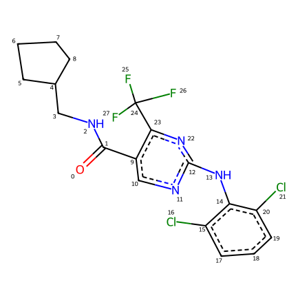 O=C(NCC1CCCC1)c1cnc(Nc2c(Cl)cccc2Cl)nc1C(F)(F)F